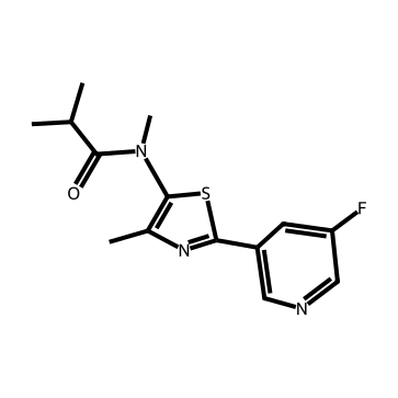 Cc1nc(-c2cncc(F)c2)sc1N(C)C(=O)C(C)C